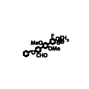 COc1cc(-c2ccc(OCc3ccccc3)c(C=O)c2)c(OC)cc1-c1ccc(OS(C)(=O)=O)c(F)c1